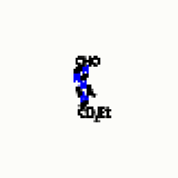 CCOC(=O)CCN1CCN(c2cnc(C=O)cn2)C[C@H]1C